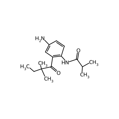 CCC(C)(C)C(=O)c1cc(N)ccc1NC(=O)C(C)C